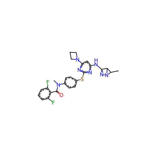 CC1C2C(Nc3cc(N4CCC4)nc(Sc4ccc(N(C)C(=O)c5c(F)cccc5F)cc4)n3)=NN12